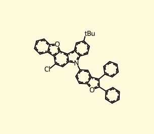 CC(C)(C)c1ccc2c(c1)c1c3oc4ccccc4c3c(Cl)cc1n2-c1ccc2oc(-c3ccccc3)c(-c3ccccc3)c2c1